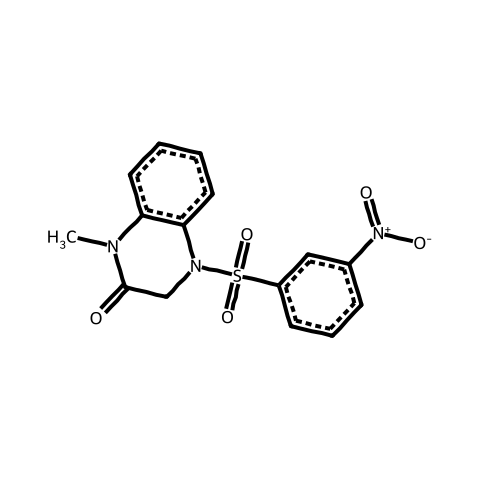 CN1C(=O)CN(S(=O)(=O)c2cccc([N+](=O)[O-])c2)c2ccccc21